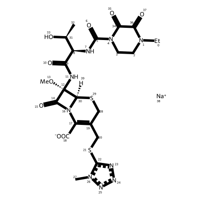 CCN1CCN(C(=O)N[C@@H](C(=O)N[C@]2(OC)C(=O)N3C(C(=O)[O-])=C(CSc4nnnn4C)CS[C@@H]32)[C@H](C)O)C(=O)C1=O.[Na+]